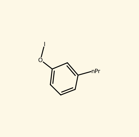 CCCc1cccc(OI)c1